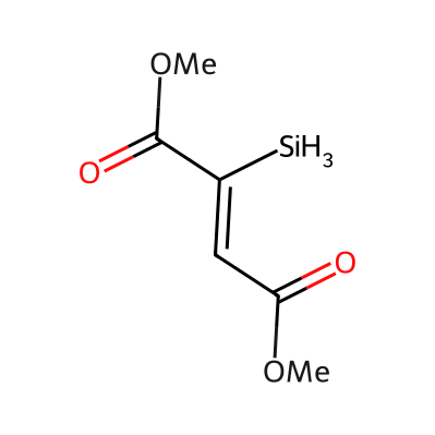 COC(=O)/C=C(\[SiH3])C(=O)OC